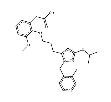 COc1cccc(CC(=O)O)c1OCCCc1cc(OC(C)C)nn1Cc1ccccc1C